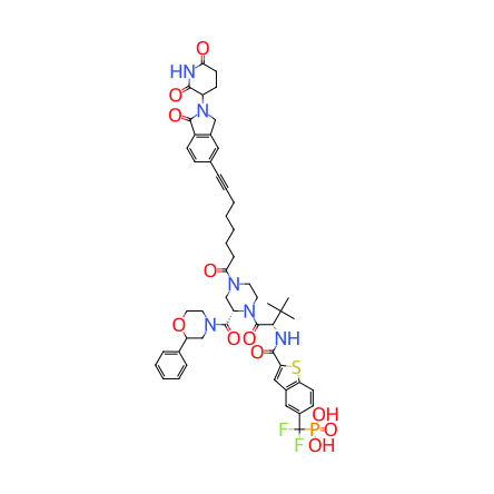 CC(C)(C)[C@H](NC(=O)c1cc2cc(C(F)(F)P(=O)(O)O)ccc2s1)C(=O)N1CCN(C(=O)CCCCCC#Cc2ccc3c(c2)CN(C2CCC(=O)NC2=O)C3=O)C[C@H]1C(=O)N1CCOC(c2ccccc2)C1